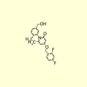 Cc1ccc(CO)cc1-n1c(C)cc(OCc2ccc(F)cc2F)cc1=O